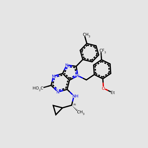 CCOc1ccc(C(F)(F)F)cc1Cn1c(-c2cccc(C)c2)nc2nc(C(=O)O)nc(N[C@H](C)C3CC3)c21